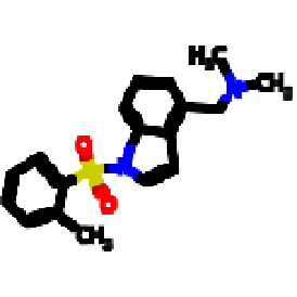 Cc1ccccc1S(=O)(=O)n1ccc2c(CN(C)C)cccc21